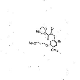 COCCCOc1cc(CN(C(=O)[C@H]2CNCCO2)C2CC2)c(Br)cc1OC